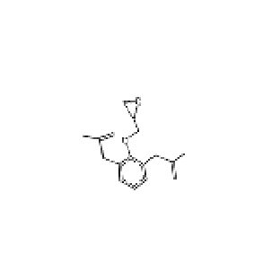 C=C(C)Cc1cccc(CC(=C)C)c1OCC1CO1